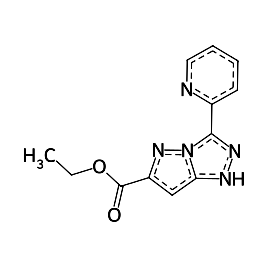 CCOC(=O)c1cc2[nH]nc(-c3ccccn3)n2n1